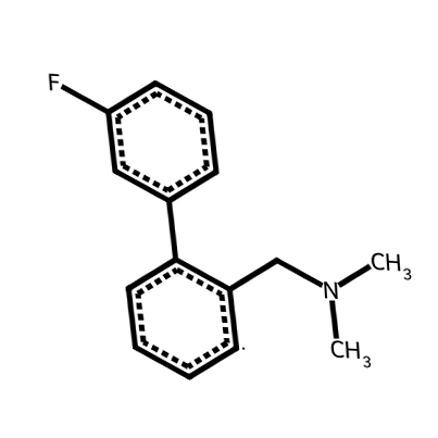 CN(C)Cc1[c]cccc1-c1cccc(F)c1